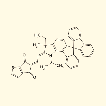 CCC1(C)/C(=C/C=C2/C(=O)c3ccsc3C2=O)N(C(C)C)c2c1ccc1c2-c2ccccc2C12c1ccccc1-c1ccccc12